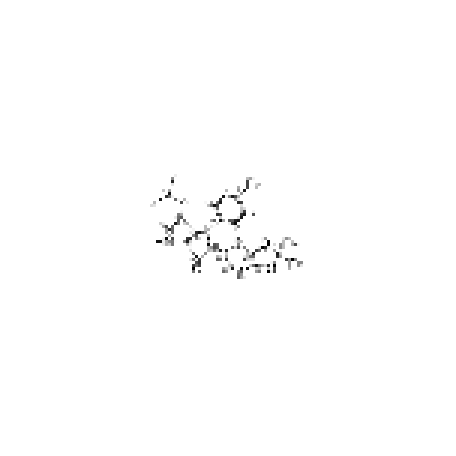 CC(C)Cc1n[nH]c2c1C(c1ccc(F)cc1)N(c1ccc3c(c1)OC(F)(F)O3)C2=O